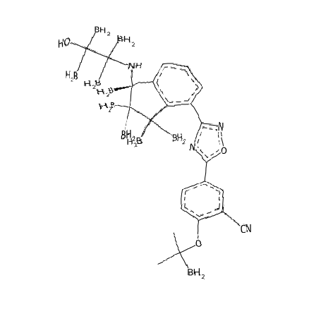 BC(C)(C)Oc1ccc(-c2nc(-c3cccc4c3C(B)(B)C(B)(B)[C@]4(B)NC(B)(B)C(B)(B)O)no2)cc1C#N